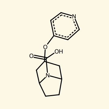 O=C(O)N1C2CCC1CC(Oc1ccncc1)C2